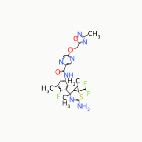 Cc1noc(COc2cnc(C(=O)Nc3cc(C)c(F)c([C@@]4(C)N=C(N)S[C@]5(C(F)F)C4[C@@H]5C)c3)cn2)n1